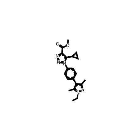 CCn1nc(C)c(-c2ccc(-n3nnc(C(=O)OC)c3C3CC3)cc2)c1C